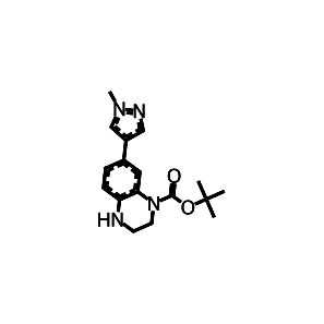 Cn1cc(-c2ccc3c(c2)N(C(=O)OC(C)(C)C)CCN3)cn1